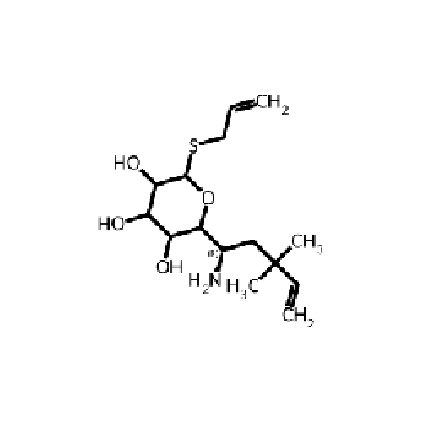 C=CCSC1OC([C@H](N)CC(C)(C)C=C)C(O)C(O)C1O